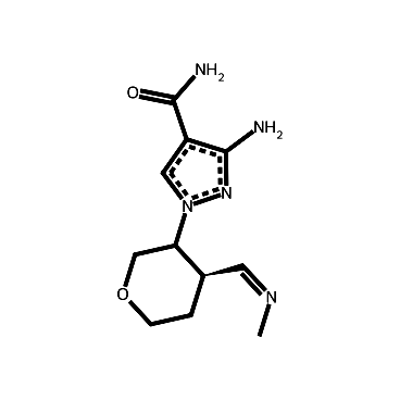 C/N=C\[C@H]1CCOCC1n1cc(C(N)=O)c(N)n1